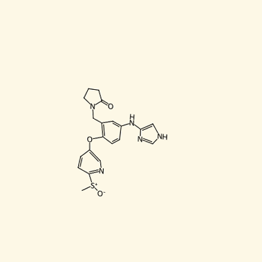 C[S+]([O-])c1ccc(Oc2ccc(Nc3c[nH]cn3)cc2CN2CCCC2=O)cn1